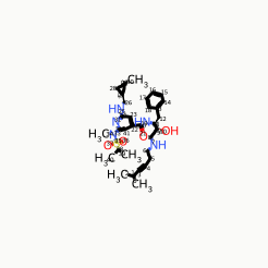 CC(C)C#CCCNC[C@@H](O)[C@H](Cc1ccccc1)NC(=O)c1cc(NC[C@H]2C[C@@H]2C)nc(N(C)S(=O)(=O)C(C)C)c1